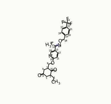 CCC1CC(=O)CC(COc2ccc(/C(C)=N/OCc3ccc(C(F)(F)F)cc3)cn2)C1=O